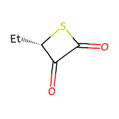 [CH2]C[C@@H]1SC(=O)C1=O